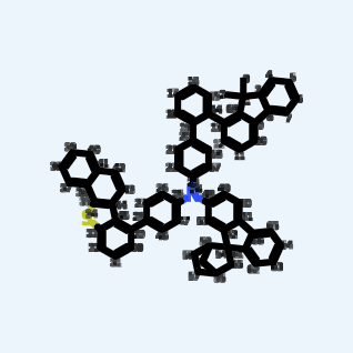 CC1(C)c2ccccc2-c2cccc(-c3ccccc3-c3ccc(N(c4ccc(-c5cccc6sc7c8ccccc8ccc7c56)cc4)c4ccc5c(c4)C4(CC6CCC4C6)c4ccccc4-5)cc3)c21